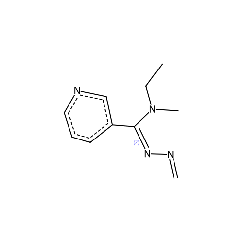 C=N/N=C(/c1cccnc1)N(C)CC